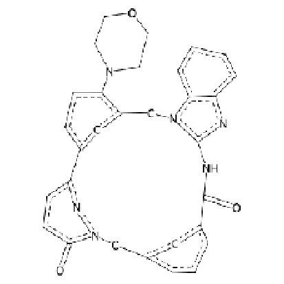 O=C1Nc2nc3ccccc3n2Cc2cc(ccc2N2CCOCC2)-c2ccc(=O)n(n2)Cc2cccc1c2